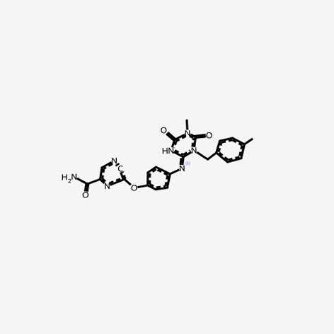 Cc1ccc(Cn2c(=O)n(C)c(=O)[nH]/c2=N\c2ccc(Oc3cncc(C(N)=O)n3)cc2)cc1